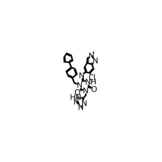 Cn1cc2cc(/N=c3\[nH]c(=O)n(Cc4nnn[nH]4)c(=O)n3Cc3ccc(-c4ccccc4)cc3)c(Cl)cc2n1